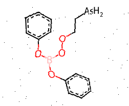 [AsH2]CCOOB(Oc1ccccc1)Oc1ccccc1